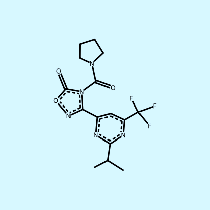 CC(C)c1nc(-c2noc(=O)n2C(=O)N2CCCC2)cc(C(F)(F)F)n1